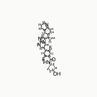 O=C(NC1CCC(O)CC1)c1cc(F)c(-c2cnc3ncc(C4(c5ccc6ncccc6c5)CC4)n3c2)cc1F